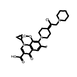 COc1c(N2CCC(=C(Cl)CN3CCCCC3)CC2)c(F)cc2c(=O)c(C(=O)O)cn(C3CC3)c12